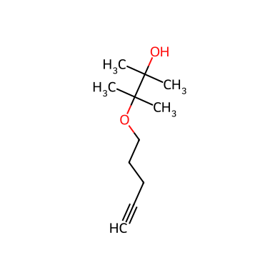 C#CCCCOC(C)(C)C(C)(C)O